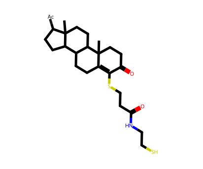 CC(=O)C1CCC2C3CCC4=C(SCCC(=O)NCCS)C(=O)CCC4(C)C3CCC12C